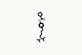 CC(C)N(CCCCc1ccc(OC(=O)C2CCCC2)cc1)C(C)C